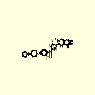 CC12CCC(c3cnc(-n4nc(Nc5ccc(N6CCC(N7CCCC7)CC6)cc5F)nc4N)nc31)C2(C)C